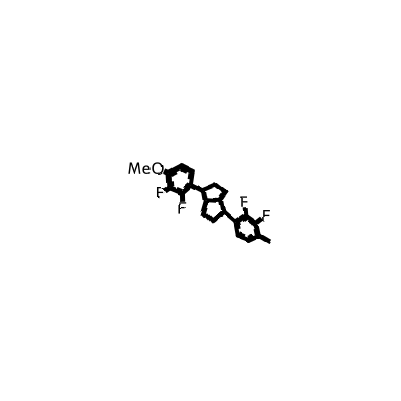 COc1ccc(C2CCC3C(c4ccc(C)c(F)c4F)CCC23)c(F)c1F